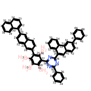 Bc1c(B)c(-c2ccc3cc(-c4cccc5ccccc45)ccc3c2)c(B)c(-c2nc(-c3ccccc3)nc(-c3cc4ccc(-c5ccccc5)cc4c4ccccc34)n2)c1B